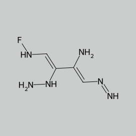 N=N/C=C(N)/C(=C/NF)NN